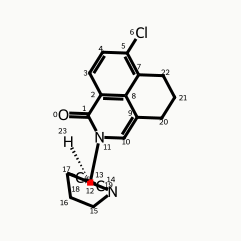 O=c1c2ccc(Cl)c3c2c(cn1[C@@H]1CN2CCC1CC2)CCC3